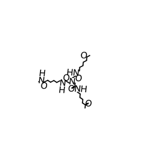 CNC(=O)CCCCCNC(=O)CN(CC(=O)NCCCCCC(C)=O)CC(=O)NCCCCCC(C)=O